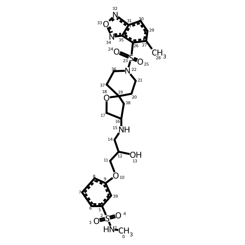 CNS(=O)(=O)c1cccc(OCC(O)CNC2COC3(CCN(S(=O)(=O)c4c(C)ccc5nonc45)CC3)C2)c1